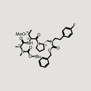 CO[C@H](C)[C@H](NC(=O)[C@H](C)N(C)C(=O)OC(C)(C)C)C(=O)N1CCC[C@H]1CN(CCc1ccc(F)cc1)C(=O)OCc1ccccc1